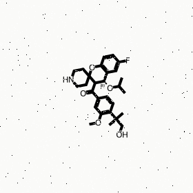 COc1cc(C(=O)C2[C@@H](OC(C)C)c3cc(F)ccc3OC23CCNCC3)ccc1C(C)(C)CO